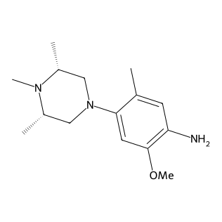 COc1cc(N2C[C@@H](C)N(C)[C@@H](C)C2)c(C)cc1N